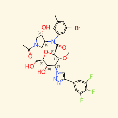 CO[C@@H]1[C@@H](n2cc(-c3cc(F)c(F)c(F)c3)nn2)[C@@H](O)[C@@H](CO)O[C@H]1C(=O)N(c1cc(C)cc(Br)c1)[C@H]1CN(C(C)=O)C[C@@H]1O